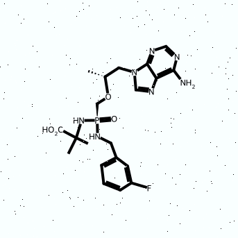 C[C@H](Cn1cnc2c(N)ncnc21)OC[P@@](=O)(NCc1cccc(F)c1)NC(C)(C)C(=O)O